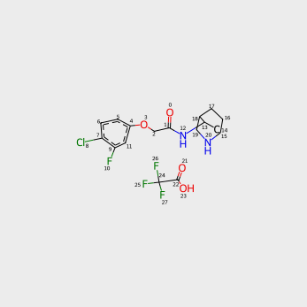 O=C(COc1ccc(Cl)c(F)c1)NC1CC2CCC1CN2.O=C(O)C(F)(F)F